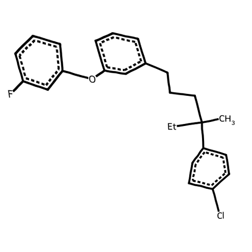 CCC(C)(CCCc1cccc(Oc2cccc(F)c2)c1)c1ccc(Cl)cc1